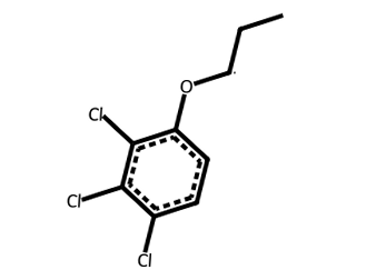 CC[CH]Oc1ccc(Cl)c(Cl)c1Cl